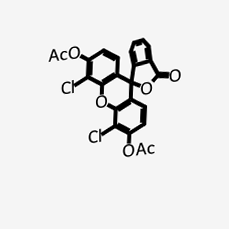 CC(=O)Oc1ccc2c(c1Cl)Oc1c(ccc(OC(C)=O)c1Cl)C21OC(=O)c2ccccc21